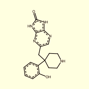 O=c1[nH]c2ncc(CC3(c4ccccc4O)CCNCC3)nc2[nH]1